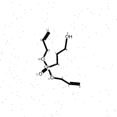 C=CCOP(=O)(CCCO)OCC=C